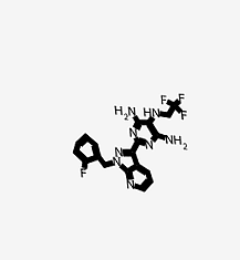 Nc1nc(-c2nn(Cc3ccccc3F)c3ncccc23)nc(N)c1NCC(F)(F)F